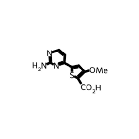 COc1cc(-c2ccnc(N)n2)sc1C(=O)O